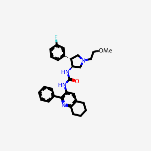 COCCN1C[C@@H](NC(=O)Nc2cc3c(nc2-c2ccccc2)CCCC3)[C@H](c2cccc(F)c2)C1